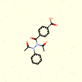 CC(=O)N(C(=O)c1ccc(C(=O)O)cc1)N(C(C)=O)c1ccccc1